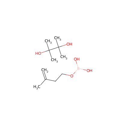 C=C(C)CCOB(O)O.CC(C)(O)C(C)(C)O